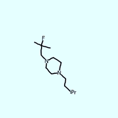 CC(C)CCN1CCN(CC(C)(C)F)CC1